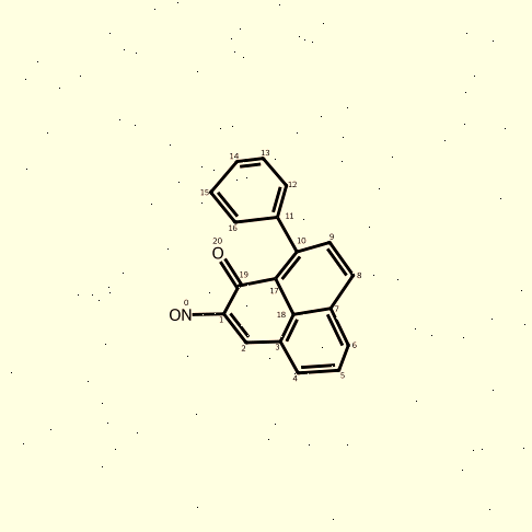 O=NC1=Cc2cccc3ccc(-c4ccccc4)c(c23)C1=O